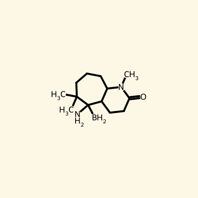 BC1(N)C2CCC(=O)N(C)C2CCCC1(C)C